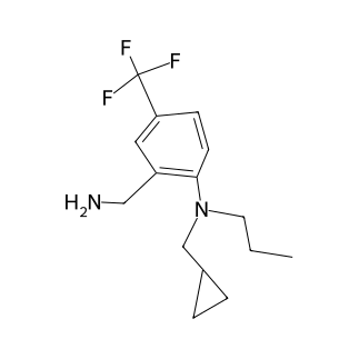 CCCN(CC1CC1)c1ccc(C(F)(F)F)cc1CN